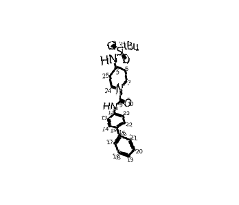 CC(C)(C)S(=O)(=O)NC1CCN(C(=O)Nc2ccc(-c3ccccc3)cc2)CC1